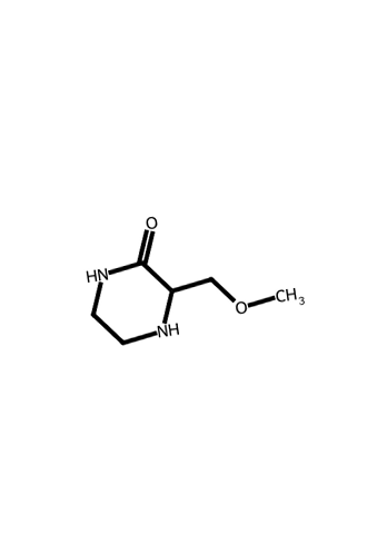 COCC1NCCNC1=O